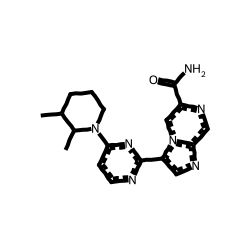 CC1CCCN(c2ccnc(-c3cnc4cnc(C(N)=O)cn34)n2)C1C